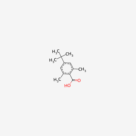 Cc1cc(C(C)(C)C)cc(C)c1C(=O)O